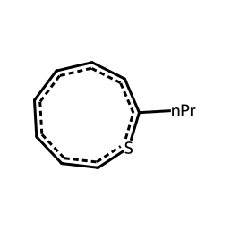 CCCc1cccccccs1